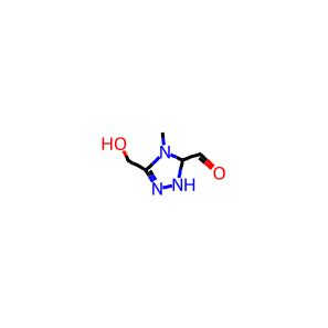 CN1C(CO)=NNC1C=O